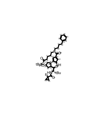 CC(C)(C)OC(=O)CCCCN(CCCCc1ccccc1)C(=O)C1=CC(=N)C([C@@H]2C[C@@H](O)CC2C(=O)[C@@H](NC(=O)C2(F)CC2)C(C)(C)C)=C1